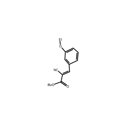 CCOc1cccc(/C=C(\C#N)C(=O)OCC(C)C)c1